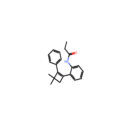 CCC(=O)Nc1ccccc1C1=C(c2ccccc2)C(C)(C)C1